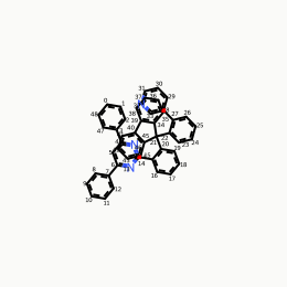 c1ccc(-c2cc(-c3ccccc3)nc(-c3ccccc3C3(c4ccccc4-c4cccnc4)c4ccccc4-c4ccccc43)n2)cc1